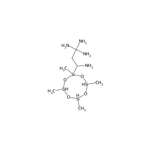 C[SiH]1O[SiH](C)O[Si](C)(C(N)CC(N)(N)N)O[SiH](C)O1